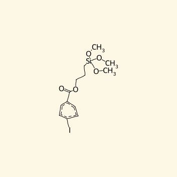 CO[Si](CCCOC(=O)c1ccc(I)cc1)(OC)OC